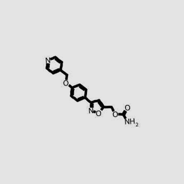 NC(=O)OCc1cc(-c2ccc(OCc3ccncc3)cc2)no1